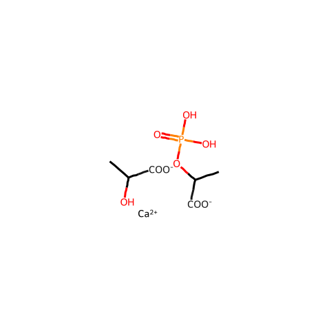 CC(O)C(=O)[O-].CC(OP(=O)(O)O)C(=O)[O-].[Ca+2]